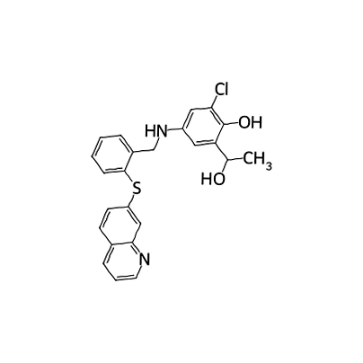 CC(O)c1cc(NCc2ccccc2Sc2ccc3cccnc3c2)cc(Cl)c1O